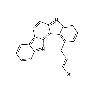 BrC=CCc1cccc2c1-c1c3c(ccc1=N2)=c1ccccc1=N3